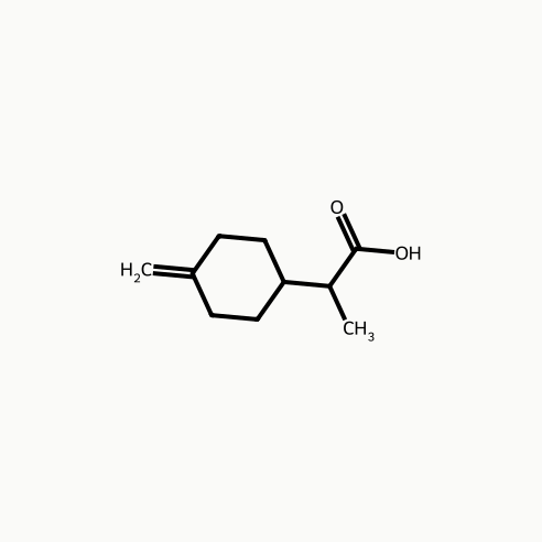 C=C1CCC(C(C)C(=O)O)CC1